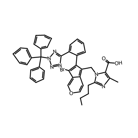 CCCCc1nc(C)c(C(=O)O)n1Cc1c2ccocc-2c(Br)c1-c1ccccc1-c1nnn(C(c2ccccc2)(c2ccccc2)c2ccccc2)n1